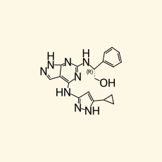 OC[C@H](Nc1nc(Nc2cc(C3CC3)[nH]n2)c2cn[nH]c2n1)c1ccccc1